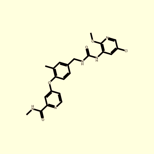 CNC(=O)c1cc(Oc2ccc(CNC(=O)Nc3cc(Cl)cnc3OC)cc2C)ccn1